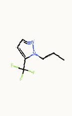 CCCn1nc[c]c1C(F)(F)F